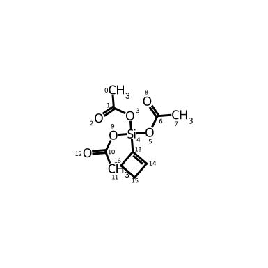 CC(=O)O[Si](OC(C)=O)(OC(C)=O)C1=CCC1